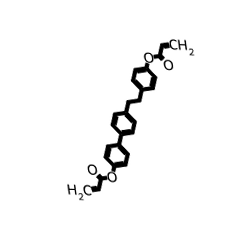 C=CC(=O)Oc1ccc(CCc2ccc(-c3ccc(OC(=O)C=C)cc3)cc2)cc1